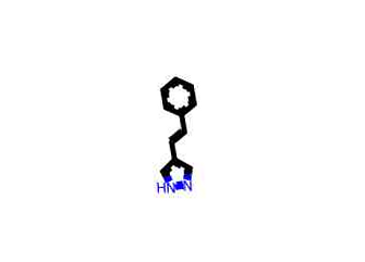 C(=Cc1cn[nH]c1)c1ccccc1